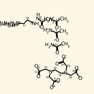 CC(N)=O.CC(N)=O.CC(N)=O.CC(N)=O.NCCN.O=C([O-])CN(CCN(CC(=O)[O-])CC(=O)[O-])CC(=O)[O-].[Na+].[Na+].[Na+].[Na+]